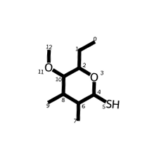 CCC1OC(S)C(C)C(C)C1OC